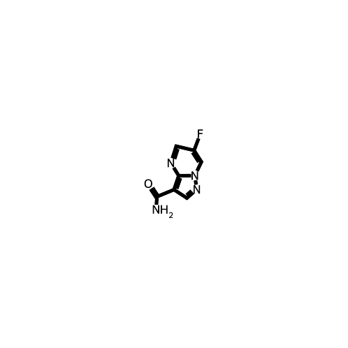 NC(=O)c1cnn2cc(F)cnc12